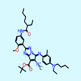 [C-]#[N+]C1=C(C(=O)OC(C)(C)C)c2nc(-c3cc(NC(=O)C(CC)CCCC)ccc3OC)nn2/C1=N/c1ccc(N(CC)CCCC)cc1C